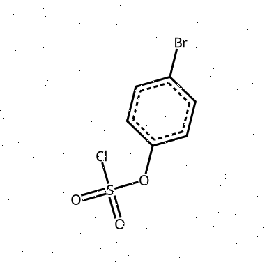 O=S(=O)(Cl)Oc1ccc(Br)cc1